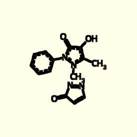 Cc1c(O)c(=O)n(-c2ccccc2)n1C.O=C1C=CN=N1